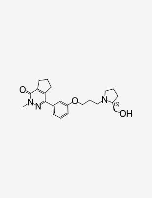 Cn1nc(-c2cccc(OCCCN3CCC[C@H]3CO)c2)c2c(c1=O)CCC2